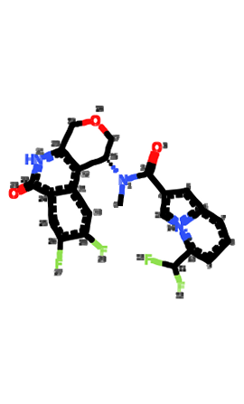 CN(C(=O)c1cc2cccc(C(F)F)n2c1)[C@H]1COCc2[nH]c(=O)c3cc(F)c(F)cc3c21